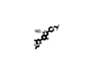 Cc1cn2nc(-c3cc(F)c4cc(C5CCN(CC(F)F)CC5)nnc4c3)cc(C)c2n1.Cl.Cl